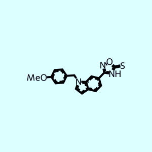 COc1ccc(Cn2ccc3ccc(-c4noc(=S)[nH]4)cc32)cc1